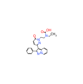 CCN(CCn1nc(-c2c(-c3ccccc3)nn3ccccc23)ccc1=O)C(=O)O